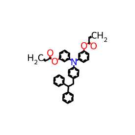 C=CC(=O)Oc1cccc(N(c2ccc(CC(c3ccccc3)c3ccccc3)cc2)c2cccc(OC(=O)C=C)c2)c1